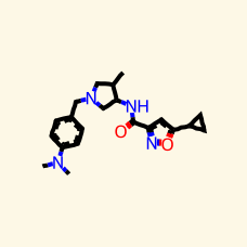 CC1CN(Cc2ccc(N(C)C)cc2)CC1NC(=O)c1cc(C2CC2)on1